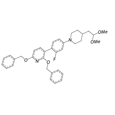 COC(CC1CCN(c2ccc(-c3ccc(OCc4ccccc4)nc3OCc3ccccc3)c(F)c2)CC1)OC